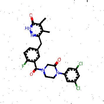 Cc1c(Cc2ccc(F)c(C(=O)N3CCN(c4cc(Cl)cc(Cl)c4)C(=O)C3)c2)n[nH]c(=O)c1C